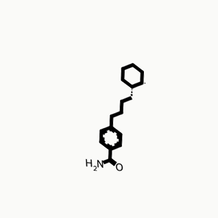 NC(=O)c1ccc(CCCC[C@H]2[CH]CCCC2)cc1